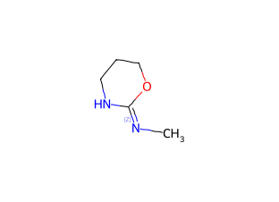 C/N=C1/NCCCO1